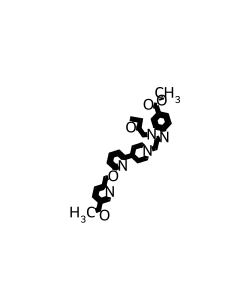 COC(=O)c1ccc2nc(CN3CCC(c4cccc(OCc5ccc(C(C)=O)cn5)n4)CC3)n(CC3CCO3)c2c1